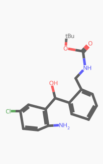 CC(C)(C)OC(=O)NCc1ccccc1C(O)c1cc(Cl)ccc1N